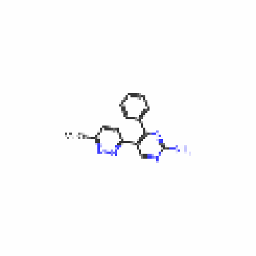 COc1ccc(-c2cnc(N)nc2-c2ccccc2)nn1